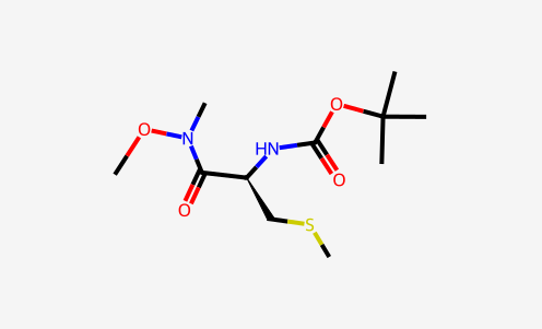 CON(C)C(=O)[C@H](CSC)NC(=O)OC(C)(C)C